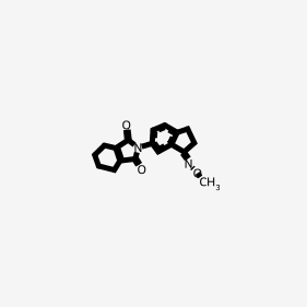 CON=C1CCc2ccc(N3C(=O)C4=C(CCCC4)C3=O)cc21